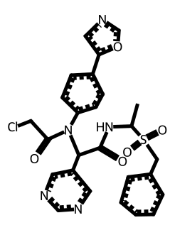 CC(NC(=O)C(c1cncnc1)N(C(=O)CCl)c1ccc(-c2cnco2)cc1)S(=O)(=O)Cc1ccccc1